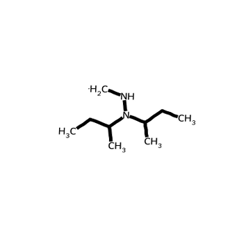 [CH2]NN(C(C)CC)C(C)CC